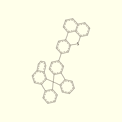 c1ccc2c(c1)-c1cc(-c3ccc4c(c3)Sc3cccc5cccc-4c35)ccc1C21c2ccccc2-c2ccc3ccccc3c21